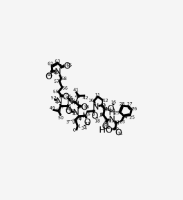 CC[C@H](C)[C@@H]([C@@H](CC(=O)N1CCC[C@H]1[C@H](OC)[C@@H](C)C(=O)N[C@@H](Cc1ccccc1)C(=O)O)OC)N(C)C(=O)[C@H](C(C)C)N(C)C(=O)C(C(C)C)N(C)C(=O)CCCCN1C(=O)C=CC1=O